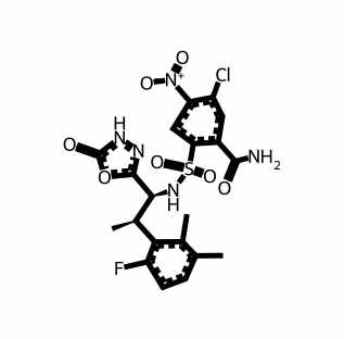 Cc1ccc(F)c([C@@H](C)[C@H](NS(=O)(=O)c2cc([N+](=O)[O-])c(Cl)cc2C(N)=O)c2n[nH]c(=O)o2)c1C